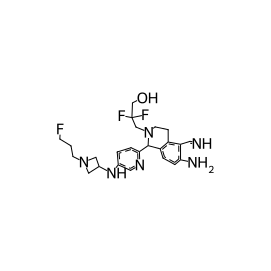 N=Cc1c(N)ccc2c1CCN(CC(F)(F)CO)C2c1ccc(NC2CN(CCCF)C2)cn1